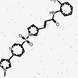 Cn1cc(-c2ccc(S(=O)(=O)n3ccc(/C=C/C(=O)Nc4ccccc4N)c3)cn2)cn1